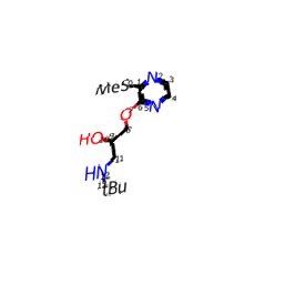 CSc1nccnc1OCC(O)CNC(C)(C)C